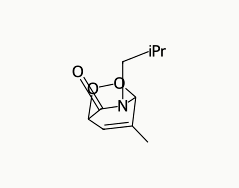 CC1=CC2OOC1N(CC(C)C)C2=O